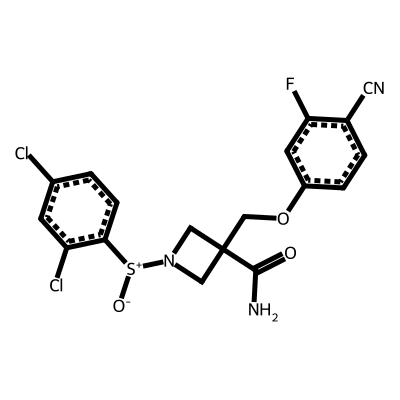 N#Cc1ccc(OCC2(C(N)=O)CN([S+]([O-])c3ccc(Cl)cc3Cl)C2)cc1F